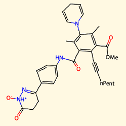 CCCCCC#Cc1c(C(=O)Nc2ccc(C3=N[NH+]([O-])C(=O)CC3)cc2)c(C)c(N2C=CCC=C2)c(C)c1C(=O)OC